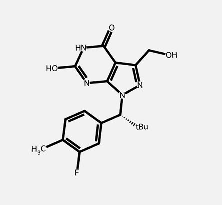 Cc1ccc([C@H](n2nc(CO)c3c(=O)[nH]c(O)nc32)C(C)(C)C)cc1F